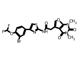 Cn1c(=O)c2c(CC(=O)Nc3nc(-c4ccc(OC(F)F)c(Br)c4)cs3)coc2n(C)c1=O